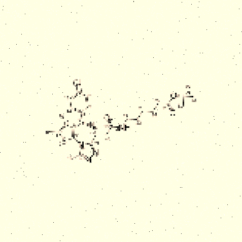 Cc1sc2c(c1C)C(c1ccc(Cl)cc1)=N[C@H](CC(=O)NCCCCCC(=O)OC(C)(C)C)c1nnc(C)n1-2